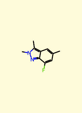 Cc1cc(F)c2nn(C)c(C)c2c1